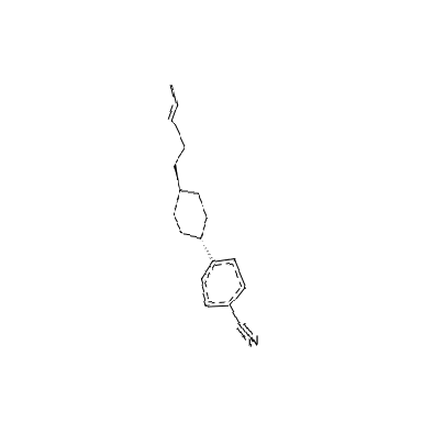 CC=CCC[C@H]1CC[C@H](c2ccc(C#N)cc2)CC1